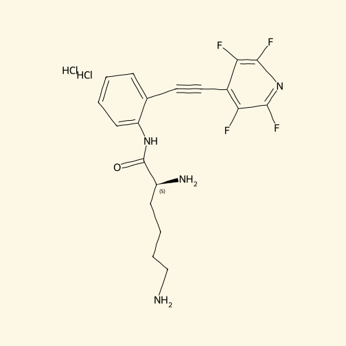 Cl.Cl.NCCCC[C@H](N)C(=O)Nc1ccccc1C#Cc1c(F)c(F)nc(F)c1F